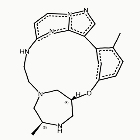 Cc1ccc2cc1-c1cnn3ccc(nc13)NCCN1C[C@@H](CN[C@@H](C)C1)O2